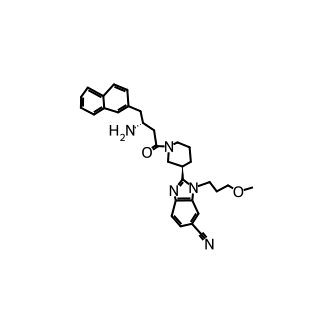 COCCCn1c([C@@H]2CCCN(C(=O)C[C@H](N)Cc3ccc4ccccc4c3)C2)nc2ccc(C#N)cc21